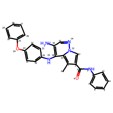 Cc1c(C(=O)Nc2ccccc2)cn2ncc(N)c(Nc3ccc(Oc4ccccc4)cc3)c12